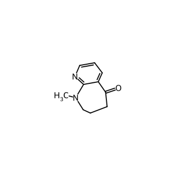 CN1CCCC(=O)c2cccnc21